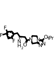 CC(C)Oc1nnc2n1CCN(C(=O)C[C@H](N)Cc1cc(F)c(F)cc1F)C2